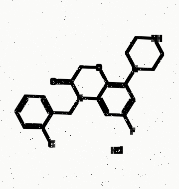 Cl.O=C1COc2c(N3CCNCC3)cc(F)cc2N1Cc1ccccc1Cl